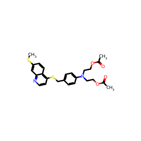 CSc1ccc2c(SCc3ccc(N(CCOC(C)=O)CCOC(C)=O)cc3)ccnc2c1